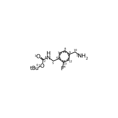 CC(C)(C)OC(=O)NCc1ccc(CN)cc1F